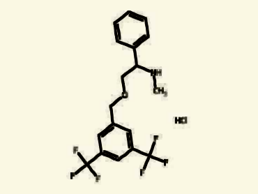 CNC(COCc1cc(C(F)(F)F)cc(C(F)(F)F)c1)c1ccccc1.Cl